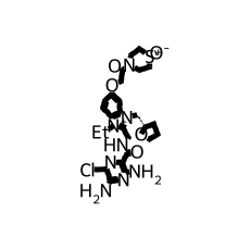 CC[n+]1c(CNC(=O)c2nc(Cl)c(N)nc2N)n(C[C@@H]2CCCO2)c2cc(OCC(=O)N3CC[S+]([O-])CC3)ccc21